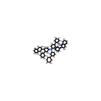 c1ccc(-c2cccc(N(c3ccc(-c4ccccc4-n4c5ccccc5c5ccc6ccccc6c54)cc3)c3ccc(-c4ccc5ccccc5c4)c(-c4ccccc4)c3)c2)cc1